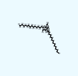 CCCCCCCCCCCCCCCCO[Si](OCC)(OCCCCCCCCCCCCCCCC)C(S)CC